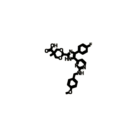 COc1ccc(CNc2nccc(-c3[nH]c(C4OCC(C)(C(=O)O)CO4)nc3-c3ccc(F)cc3)n2)cc1